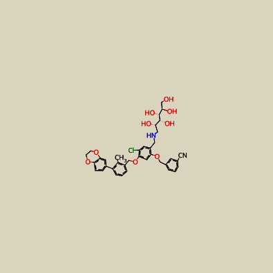 Cc1c(COc2cc(OCc3cccc(C#N)c3)c(CNC[C@H](O)[C@@H](O)[C@H](O)[C@H](O)CO)cc2Cl)cccc1-c1ccc2c(c1)OCCO2